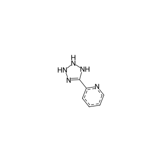 c1ccc(C2=NNNN2)nc1